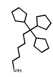 [SnH][CH2]CCCCC(C1CCCC1)(C1CCCC1)C1CCCC1